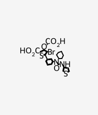 O=C(O)COc1c(C(=O)O)sc(-c2cccc(N(C(=O)Nc3ccsc3)C3CCCCC3)c2)c1Br